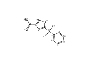 O=C(O)c1cc(C(F)(F)c2ccccc2)on1